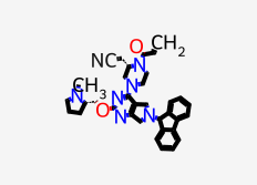 C=CC(=O)N1CCN(c2nc(OC[C@@H]3CCCN3C)nc3c2CN(C2c4ccccc4-c4ccccc42)C3)C[C@@H]1CC#N